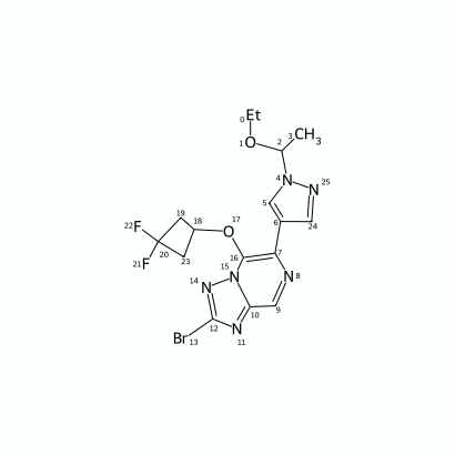 CCOC(C)n1cc(-c2ncc3nc(Br)nn3c2OC2CC(F)(F)C2)cn1